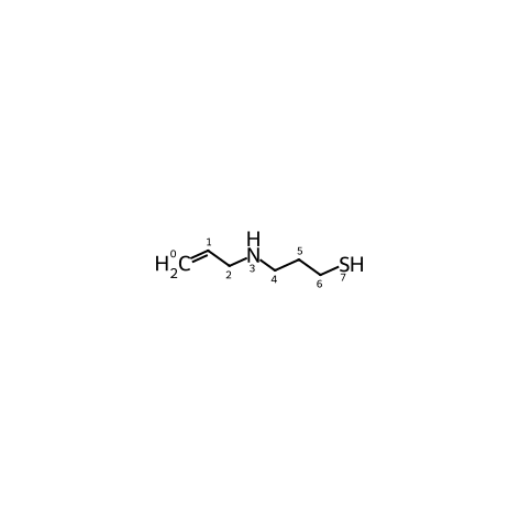 C=CCNCCCS